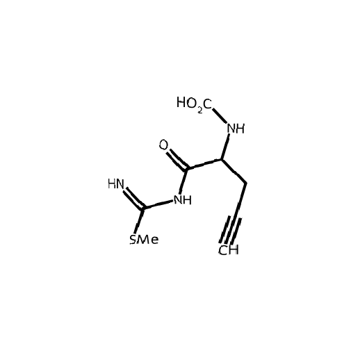 C#CCC(NC(=O)O)C(=O)NC(=N)SC